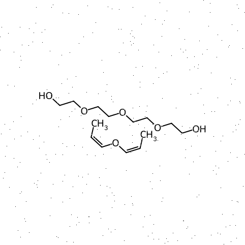 C/C=C\O/C=C\C.OCCOCCOCCOCCO